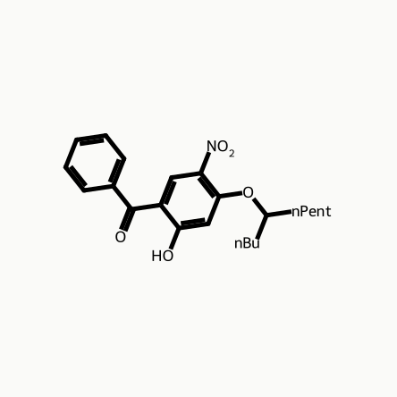 CCCCCC(CCCC)Oc1cc(O)c(C(=O)c2ccccc2)cc1[N+](=O)[O-]